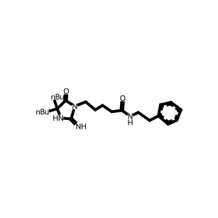 CCCCC1(CCCC)NC(=N)N(CCCCC(=O)NCCc2ccccc2)C1=O